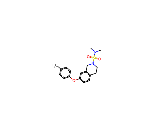 CN(C)S(=O)(=O)N1CCc2ccc(Oc3ccc(C(F)(F)F)cc3)cc2C1